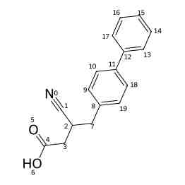 N#CC(CC(=O)O)Cc1ccc(-c2ccccc2)cc1